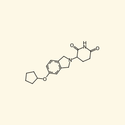 O=C1CCC(N2Cc3ccc(OC4CCCC4)cc3C2)C(=O)N1